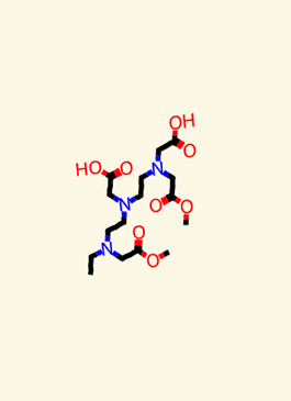 CCN(CCN(CCN(CC(=O)O)CC(=O)OC)CC(=O)O)CC(=O)OC